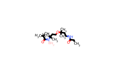 BN(C(=O)C(C)C)C(C)(C)CCOC(C)(C)CCNC(=O)CC